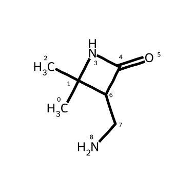 CC1(C)NC(=O)C1CN